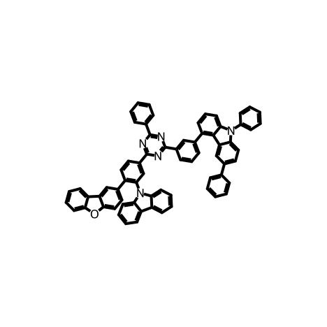 c1ccc(-c2ccc3c(c2)c2c(-c4cccc(-c5nc(-c6ccccc6)nc(-c6ccc(-c7ccc8oc9ccccc9c8c7)c(-n7c8ccccc8c8ccccc87)c6)n5)c4)cccc2n3-c2ccccc2)cc1